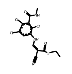 CCOC(=O)C(C#N)=CNc1cc(Cl)c(Cl)c(C(=O)NC)c1Cl